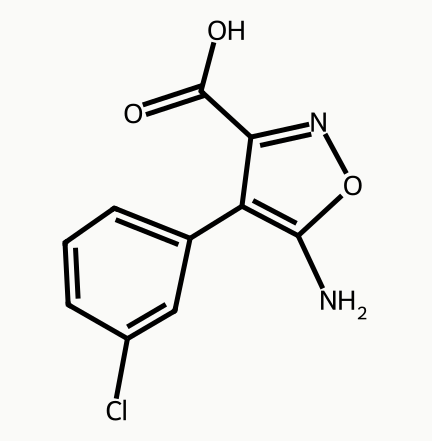 Nc1onc(C(=O)O)c1-c1cccc(Cl)c1